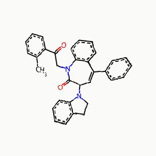 Cc1ccccc1C(=O)CN1C(=O)C(N2CCc3ccccc32)C=C(c2ccccc2)c2ccccc21